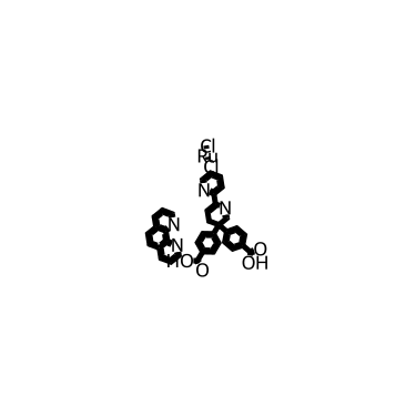 O=C(O)c1ccc(C2(c3ccc(C(=O)O)cc3)C=NC(c3ccccn3)=CC2)cc1.[Cl][Ru][Cl].c1cnc2c(c1)ccc1cccnc12